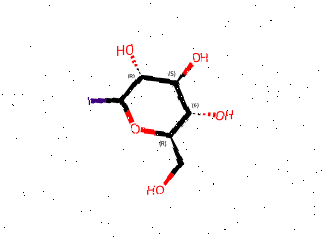 OC[C@H]1OC(I)[C@H](O)[C@@H](O)[C@@H]1O